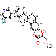 COCC(Oc1ccc2c(c1)CCC1C2CC[C@]2(C)C(c3cncc(F)c3)=CCC12)C(=O)O